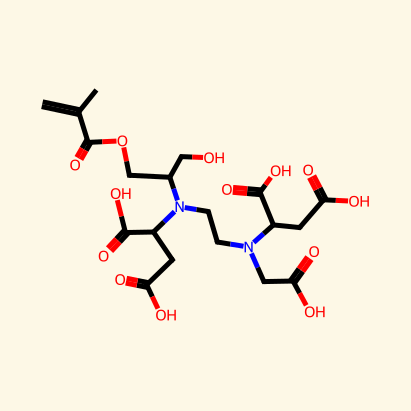 C=C(C)C(=O)OCC(CO)N(CCN(CC(=O)O)C(CC(=O)O)C(=O)O)C(CC(=O)O)C(=O)O